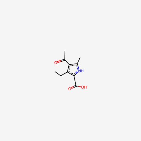 CCc1c(C(=O)O)[nH]c(C)c1C(C)=O